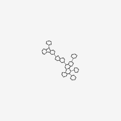 c1ccc(-c2ccc3c(c2)c(-c2ccc4cc(-c5ccc6c(c5)c5ccccc5n6-c5ccccc5)ccc4c2)cc2c4ccccc4c(-c4ccccc4)c(-c4ccccc4)c32)cc1